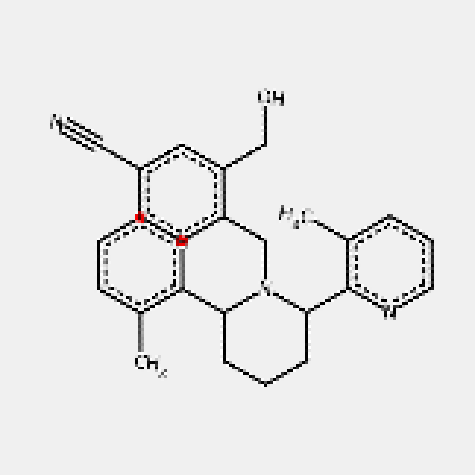 Cc1cccnc1C1CCCC(c2ncccc2C)N1Cc1ccc(C#N)cc1CO